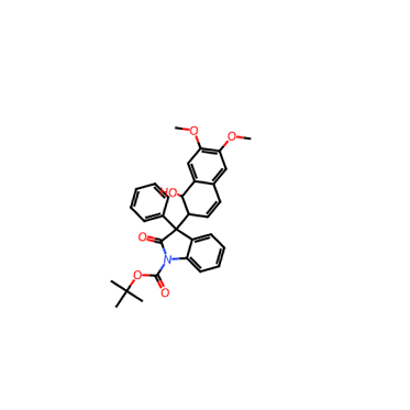 COc1cc2c(cc1OC)C(O)C(C1(c3ccccc3)C(=O)N(C(=O)OC(C)(C)C)c3ccccc31)C=C2